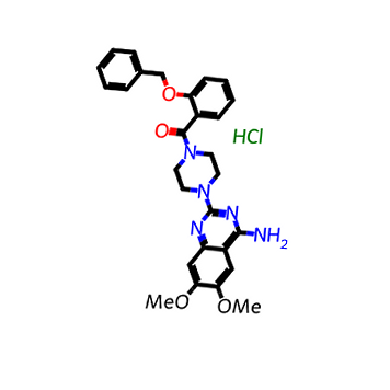 COc1cc2nc(N3CCN(C(=O)c4ccccc4OCc4ccccc4)CC3)nc(N)c2cc1OC.Cl